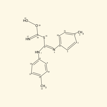 Cc1ccc(N=C(Nc2ccc(C)cc2)SC(=N)OO)cc1